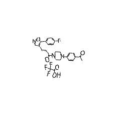 CC(=O)c1ccc(N2CCN(C(=O)CCc3cnoc3-c3ccc(F)cc3)CC2)cc1.O=C(O)C(F)(F)F